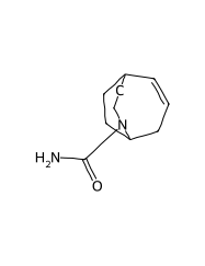 NC(=O)N1CCC2C=CCC1CC2